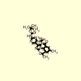 [2H]C([2H])([2H])n1c(=O)c2cc(C)cc(C(C)=O)c2n2cnc(-c3cnc(NC(=O)OC(C)(C)C)nc3)c12